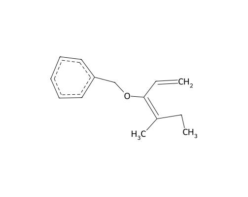 C=C/C(OCc1ccccc1)=C(/C)CC